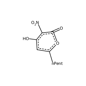 CCCCCc1cc(O)c([N+](=O)[O-])c(=O)o1